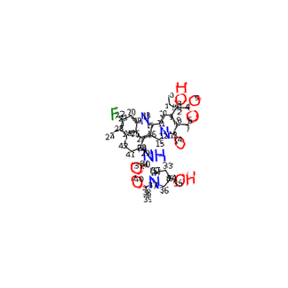 CC[C@@]1(O)C(=O)OCc2c1cc1n(c2=O)Cc2c-1nc1cc(F)c(C)c3c1c2[C@@H](NC(=O)[C@@H]1C[C@H](O)CN1C(C)=O)CC3